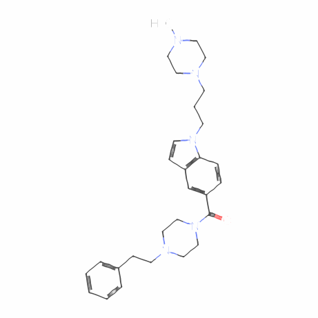 CN1CCN(CCCn2ccc3cc(C(=O)N4CCN(CCc5ccccc5)CC4)ccc32)CC1